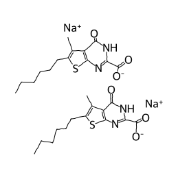 CCCCCCc1sc2nc(C(=O)[O-])[nH]c(=O)c2c1C.CCCCCCc1sc2nc(C(=O)[O-])[nH]c(=O)c2c1C.[Na+].[Na+]